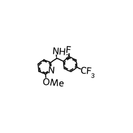 COc1cccc([C@@H](N)c2ccc(C(F)(F)F)cc2F)n1